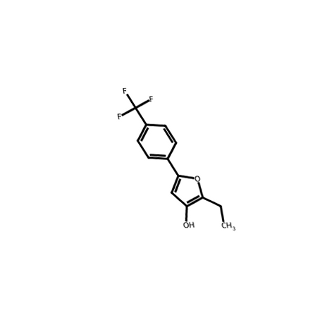 CCc1oc(-c2ccc(C(F)(F)F)cc2)cc1O